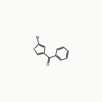 O=C(c1ccccc1)c1csc(Br)c1